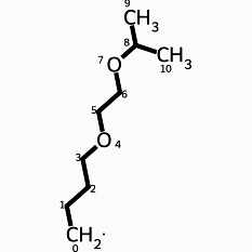 [CH2]CCCOCCOC(C)C